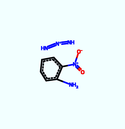 N=[N+]=N.Nc1ccccc1[N+](=O)[O-]